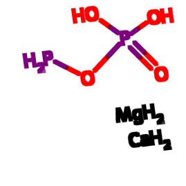 O=P(O)(O)OP.[CaH2].[MgH2]